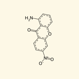 Nc1cccc2oc3cc([N+](=O)[O-])ccc3c(=O)c12